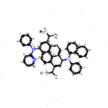 CC(C)C1=CC(N(c2ccccc2)c2cccc3ccccc23)C2=CCc3c(C(C)C)cc(N(c4ccccc4)c4ccccn4)c4ccc1c2c34